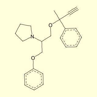 C#CC(C)(OCC(COc1ccccc1)N1CCCC1)c1ccccc1